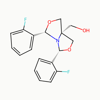 OC[C@]12CO[C@H](c3ccccc3F)N1[C@H](c1ccccc1F)OC2